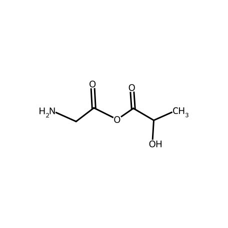 CC(O)C(=O)OC(=O)CN